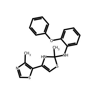 Cc1ncsc1C1=CSC(C)(Nc2ccccc2Oc2ccccc2)N1